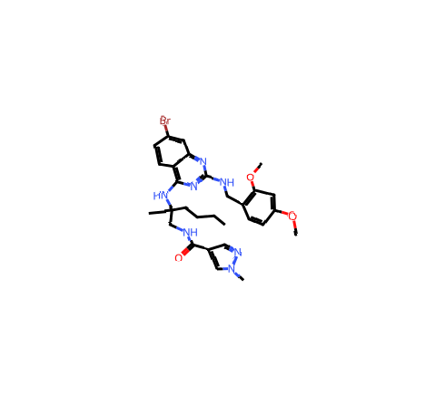 CCCCC(C)(CNC(=O)c1cnn(C)c1)Nc1nc(NCc2ccc(OC)cc2OC)nc2cc(Br)ccc12